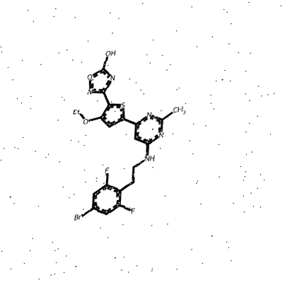 CCOc1cc(-c2cc(NCCc3c(F)cc(Br)cc3F)nc(C)n2)sc1-c1noc(O)n1